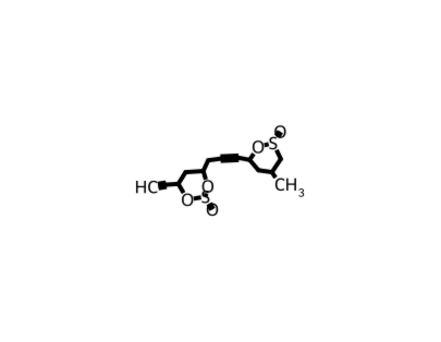 C#CC1CC(CC#CC2CC(C)CS(=O)O2)OS(=O)O1